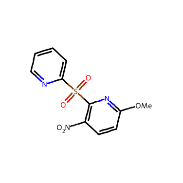 COc1ccc([N+](=O)[O-])c(S(=O)(=O)c2ccccn2)n1